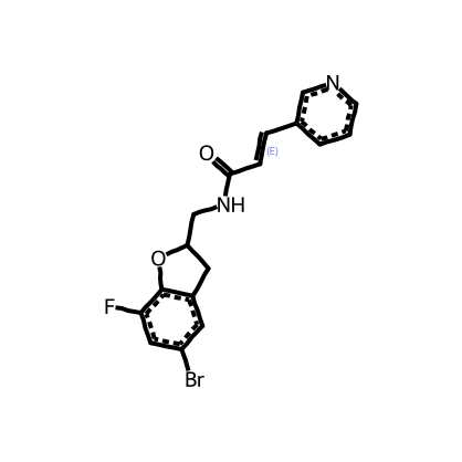 O=C(/C=C/c1cccnc1)NCC1Cc2cc(Br)cc(F)c2O1